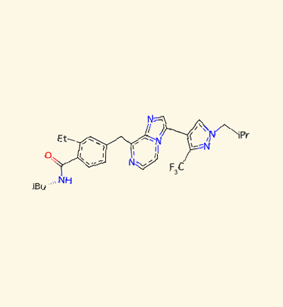 CCc1cc(Cc2nccn3c(-c4cn(CC(C)C)nc4C(F)(F)F)cnc23)ccc1C(=O)N[C@@H](C)CC